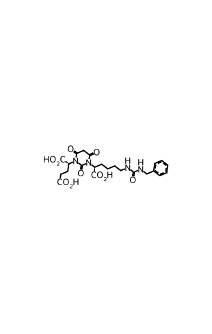 O=C(O)CC[C@@H](C(=O)O)N1C(=O)CC(=O)N([C@@H](CCCCNC(=O)NCc2ccccc2)C(=O)O)C1=O